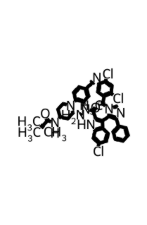 C[C@@H](c1ccc(Cl)cc1Cl)n1cnc(-c2ccccc2)c1-c1c(C(=O)N(N)c2cc(C#N)ccc2N2CCC(NC(=O)C(C)(C)C)CC2)[nH]c2cc(Cl)ccc12